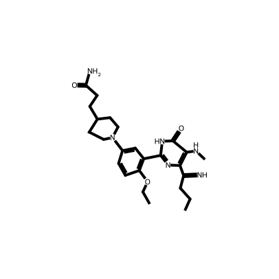 CCCC(=N)c1nc(-c2cc(N3CCC(CCC(N)=O)CC3)ccc2OCC)[nH]c(=O)c1NC